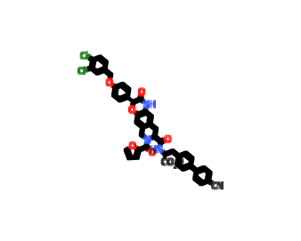 N#Cc1ccc(-c2ccc(C[C@H](NC(=O)C3Cc4cc5c(cc4CN3C(=O)c3ccco3)O[C@@H](c3ccc(OCc4ccc(Cl)c(Cl)c4)cc3)C(=O)N5)C(=O)O)cc2)cc1